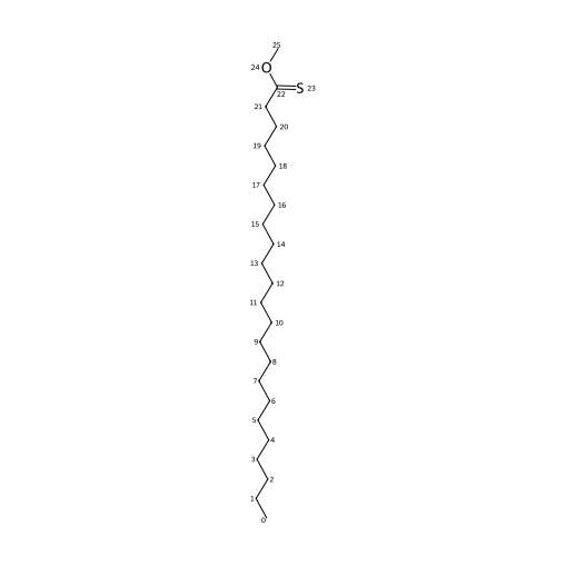 CCCCCCCCCCCCCCCCCCCCCCC(=S)OC